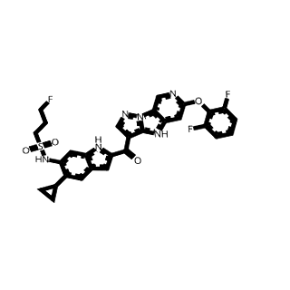 O=C(c1cc2cc(C3CC3)c(NS(=O)(=O)CCCF)cc2[nH]1)c1cnn2c1[nH]c1cc(Oc3c(F)cccc3F)ncc12